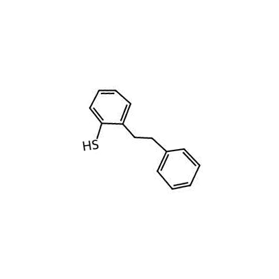 Sc1ccccc1CCc1ccccc1